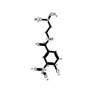 CN(C)CCNC(=O)c1ccc(Cl)c([SH](=O)=O)c1